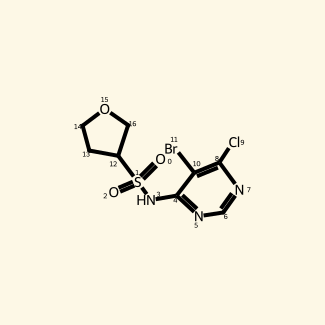 O=S(=O)(Nc1ncnc(Cl)c1Br)C1CCOC1